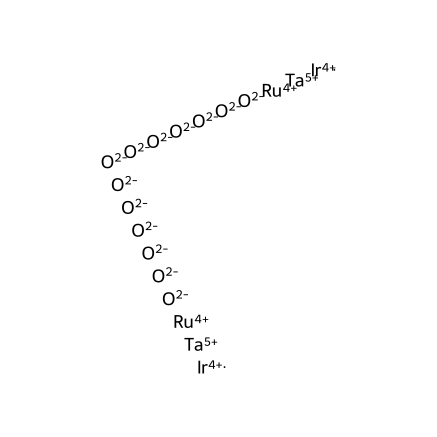 [Ir+4].[Ir+4].[O-2].[O-2].[O-2].[O-2].[O-2].[O-2].[O-2].[O-2].[O-2].[O-2].[O-2].[O-2].[O-2].[Ru+4].[Ru+4].[Ta+5].[Ta+5]